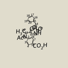 CC(=O)N1c2ccc(C(=O)O)cc2C(NC(=O)OCc2ccccc2)C(C)C1C